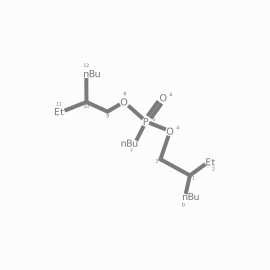 CCCCC(CC)COP(=O)(CCCC)OCC(CC)CCCC